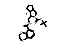 CC(C)(C)OC(=O)N1CC2CCC[C@@H]2C1CNC(=O)c1cccc2c1OCCO2